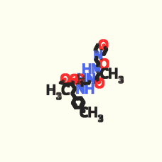 Cc1ccc(CC(NC(=O)CNC(=O)C(C)NC(=O)CN2CCOCC2)C(=O)[C@@]2(C)CO2)cc1